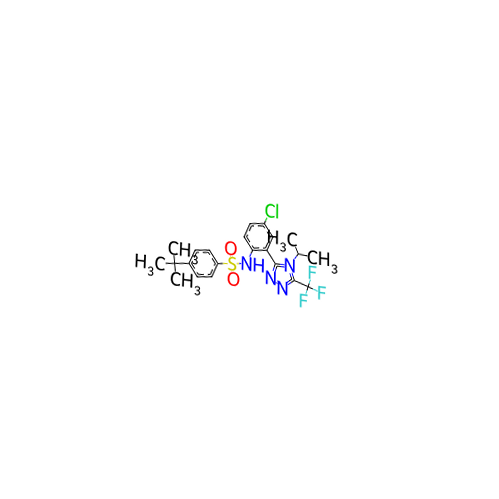 CC(C)n1c(-c2cc(Cl)ccc2NS(=O)(=O)c2ccc(C(C)(C)C)cc2)nnc1C(F)(F)F